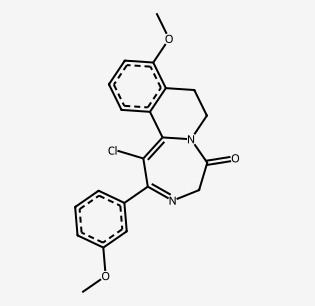 COc1cccc(C2=NCC(=O)N3CCc4c(OC)cccc4C3=C2Cl)c1